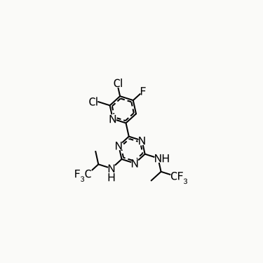 CC(Nc1nc(NC(C)C(F)(F)F)nc(-c2cc(F)c(Cl)c(Cl)n2)n1)C(F)(F)F